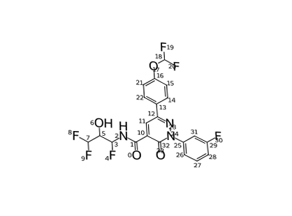 O=C(NC(F)C(O)C(F)F)c1cc(-c2ccc(OC(F)F)cc2)nn(-c2cccc(F)c2)c1=O